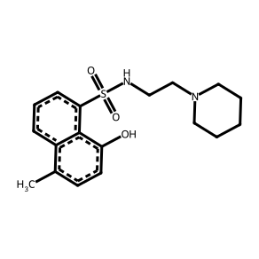 Cc1ccc(O)c2c(S(=O)(=O)NCCN3CCCCC3)cccc12